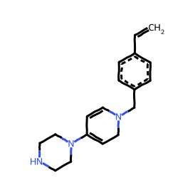 C=Cc1ccc(CN2C=CC(N3CCNCC3)=CC2)cc1